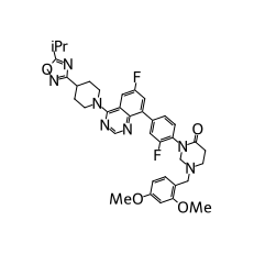 COc1ccc(CN2CCC(=O)N(c3ccc(-c4cc(F)cc5c(N6CCC(c7noc(C(C)C)n7)CC6)ncnc45)cc3F)C2)c(OC)c1